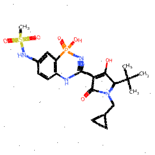 CC(C)(C)C1C(O)=C(C2=NP(=O)(O)c3cc(NS(C)(=O)=O)ccc3N2)C(=O)N1CC1CC1